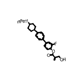 C=C(CO)C(=O)Oc1ccc(-c2ccc(C3CCC(CCCCC)CC3)cc2)cc1F